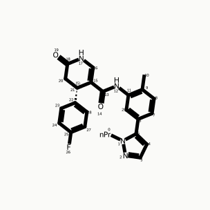 CCCn1nccc1-c1ccc(C)c(NC(=O)C2=CNC(=O)C[C@H]2c2ccc(F)cc2)c1